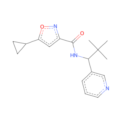 CC(C)(C)C(NC(=O)c1cc(C2CC2)on1)c1cccnc1